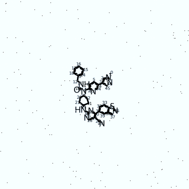 Cn1cc(-c2ccc(N(C(=O)NCc3ccccc3)[C@H]3CC[C@H](Nc4ncc(C#N)c(-c5ccc6sncc6c5)n4)CC3)nc2)cn1